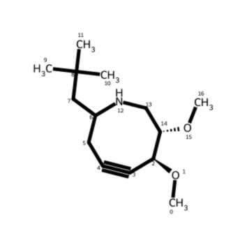 CO[C@H]1C#CCC(CC(C)(C)C)NC[C@@H]1OC